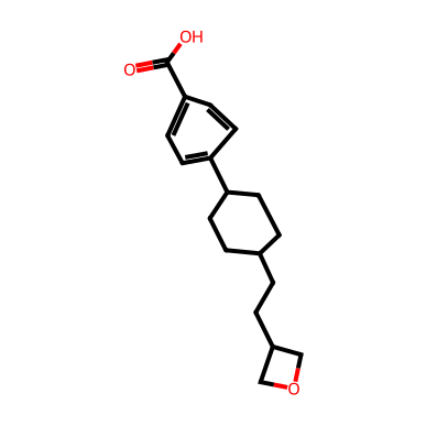 O=C(O)c1ccc(C2CCC(CCC3COC3)CC2)cc1